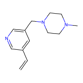 C=Cc1cncc(CN2CCN(C)CC2)c1